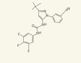 CC(C)(C)c1cc(NC(=O)Nc2cc(F)c(F)c(F)c2)n(-c2cccc(C#N)c2)n1